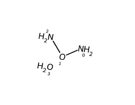 NON.O